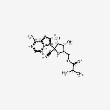 CC(C)C(=O)OC[C@H]1OC(C#N)(c2ccc3c(N)ncnn23)[C@H](O)[C@@H]1O